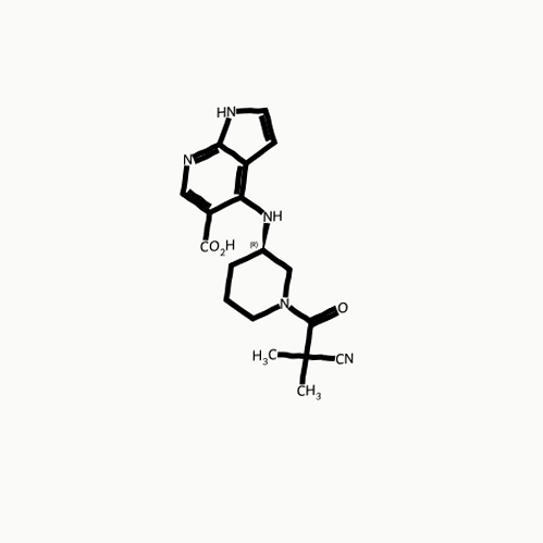 CC(C)(C#N)C(=O)N1CCC[C@@H](Nc2c(C(=O)O)cnc3[nH]ccc23)C1